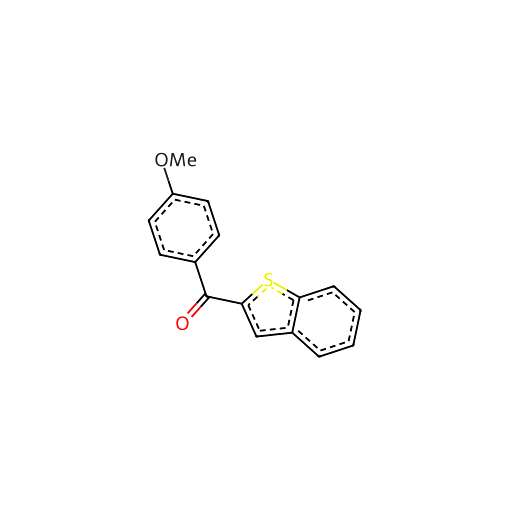 COc1ccc(C(=O)c2cc3ccccc3s2)cc1